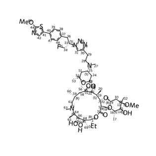 CC[C@H]1OC(=O)[C@H](C)[C@@H](O[C@H]2C[C@@](C)(OC)[C@@H](O)[C@H](C)O2)[C@H](C)[C@@H](O[C@H]2C[C@@H](N(C)CCc3cn([C@H](CF)Cc4ccc(-c5cnc(OC)s5)cc4)nn3)C[C@@H](C)O2)[C@](C)(O)C[C@@H](C)CN(C)[C@H](C)[C@@H](O)[C@]1(C)O